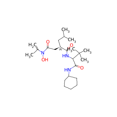 C=C(C)N(O)C(=O)C[C@@H](CC(C)C)C(=O)NC(C(=O)NC1CCCCC1)C(C)(C)C